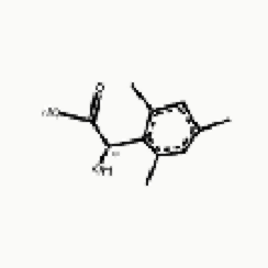 Cc1cc(C)c([C@@H](O)C(=O)O)c(C)c1